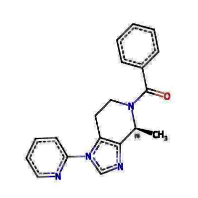 C[C@H]1c2ncn(-c3ccccn3)c2CCN1C(=O)c1ccccc1